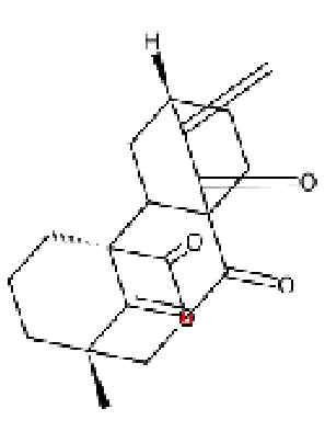 C=C1C(=O)C23CC[C@H]1CC2[C@@]12CCC[C@@](C)(COC1=O)C2=CC3=O